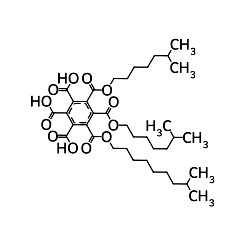 CC(C)CCCCCCCOC(=O)c1c(C(=O)O)c(C(=O)O)c(C(=O)O)c(C(=O)OCCCCCC(C)C)c1C(=O)OCCCCCC(C)C